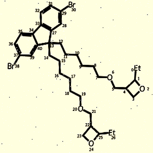 CCC1OCC1COCCCCCCC1(CCCCCCOCC2COC2CC)c2cc(Br)ccc2-c2ccc(Br)cc21